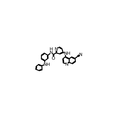 N#Cc1ccc2nccc(Nc3ccnc(C(=O)Nc4cccc(Nc5ccccc5)c4)c3)c2c1